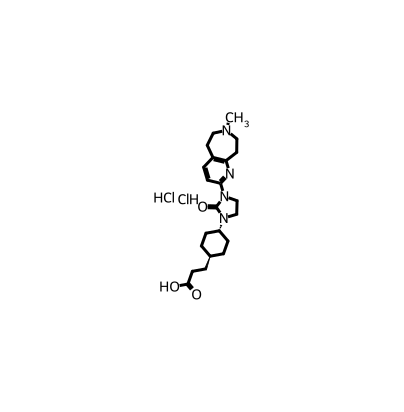 CN1CCc2ccc(N3CCN([C@H]4CC[C@H](CCC(=O)O)CC4)C3=O)nc2CC1.Cl.Cl